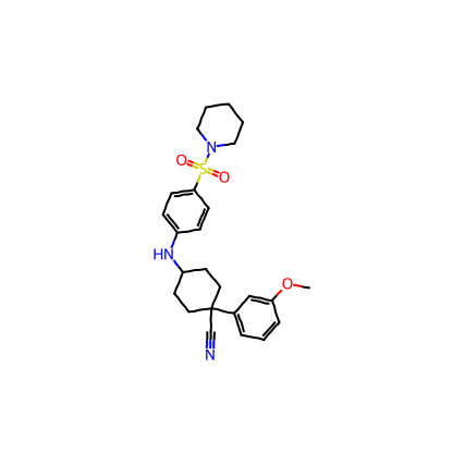 COc1cccc(C2(C#N)CCC(Nc3ccc(S(=O)(=O)N4CCCCC4)cc3)CC2)c1